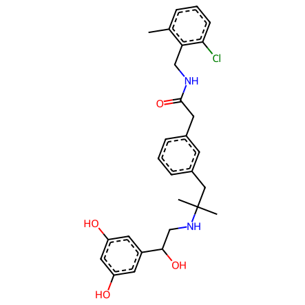 Cc1cccc(Cl)c1CNC(=O)Cc1cccc(CC(C)(C)NCC(O)c2cc(O)cc(O)c2)c1